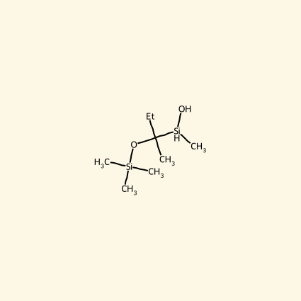 CCC(C)(O[Si](C)(C)C)[SiH](C)O